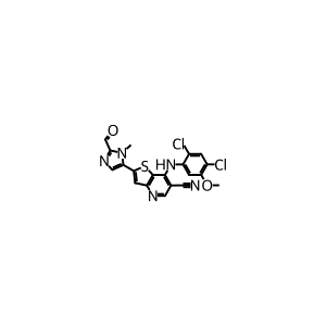 COc1cc(Nc2c(C#N)cnc3cc(-c4cnc(C=O)n4C)sc23)c(Cl)cc1Cl